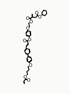 C=CC(=O)OCCCCOc1ccc(-c2ccc(/C=C/C(=O)Oc3ccc(OCCOC(=O)C(=C)CC(=O)OC4CCCCC4)cc3)cc2)cc1